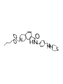 CCCCOC(=O)CN1CCc2ccc(C(=O)Nc3ccc(/C=N/N4CCSCC4)cc3)cc2C1